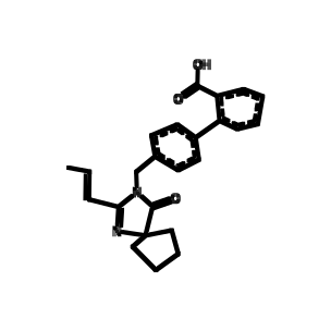 C/C=C/C1=NC2(CCCC2)C(=O)N1Cc1ccc(-c2ccccc2C(=O)O)cc1